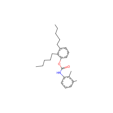 CCCCCc1cccc(OC(=O)Nc2cccc(C)c2C)c1CCCCC